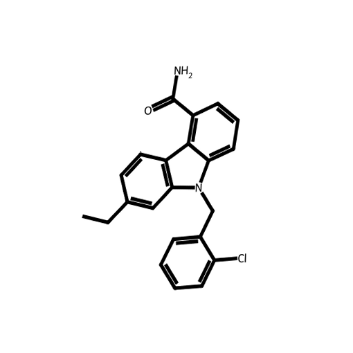 CCc1c[c]c2c3c(C(N)=O)cccc3n(Cc3ccccc3Cl)c2c1